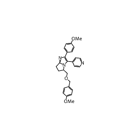 COc1ccc(COCC2CCc3nc(-c4ccc(OC)cc4)c(-c4ccncc4)n32)cc1